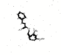 COc1ccc(COC(=O)CCc2ccccc2)c(OC)c1